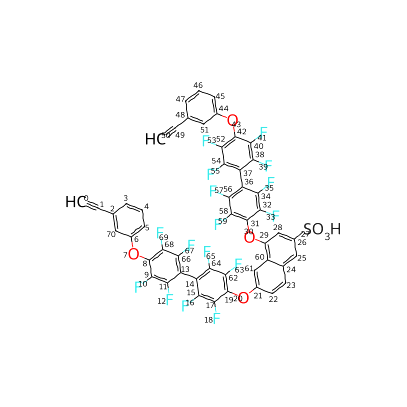 C#Cc1cccc(Oc2c(F)c(F)c(-c3c(F)c(F)c(Oc4ccc5cc(S(=O)(=O)O)cc(Oc6c(F)c(F)c(-c7c(F)c(F)c(Oc8cccc(C#C)c8)c(F)c7F)c(F)c6F)c5c4)c(F)c3F)c(F)c2F)c1